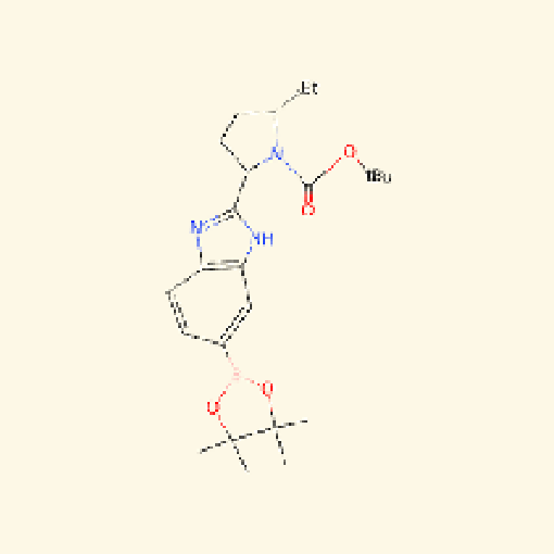 CC[C@H]1CCC(c2nc3ccc(B4OC(C)(C)C(C)(C)O4)cc3[nH]2)N1C(=O)OC(C)(C)C